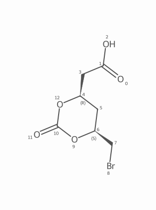 O=C(O)C[C@H]1C[C@@H](CBr)OC(=O)O1